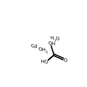 O.O.O=C(O)O.[Gd]